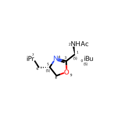 CC[C@H](C)[C@H](NC(C)=O)C1=N[C@@H](CC(C)C)CO1